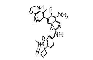 CNC(=O)C1(c2ccc(Nc3ncc4c(N)c(F)c(-c5cnc6c(c5C)NCCO6)cc4n3)cc2)CCC1